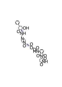 O=C1CCC(N2C(=O)c3cccc(NC(=O)OCOC(=O)/C=C/C(=O)N4CCN(CCN/C=C5\C(=O)CC(c6ccccc6)CC5O)CC4)c3C2=O)C(=O)N1